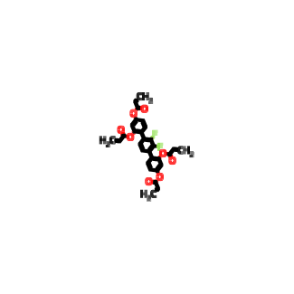 C=CC(=O)Oc1ccc(-c2ccc(-c3ccc(OC(=O)C=C)cc3OC(=O)C=C)c(F)c2F)c(OC(=O)C=C)c1